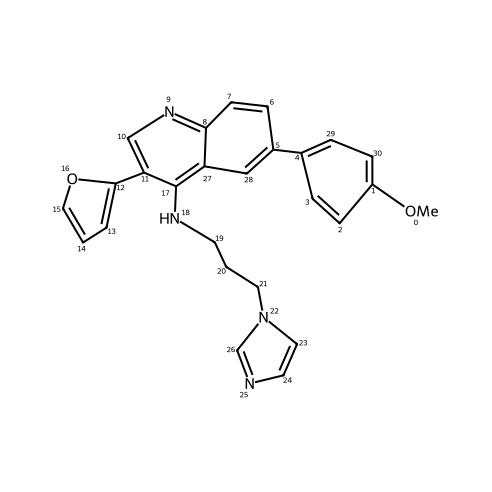 COc1ccc(-c2ccc3ncc(-c4ccco4)c(NCCCn4ccnc4)c3c2)cc1